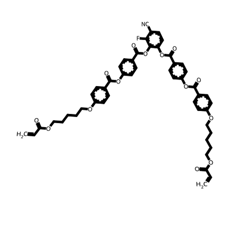 C=CC(=O)OCCCCCOc1ccc(C(=O)Oc2ccc(C(=O)Oc3ccc(C#N)c(F)c3OC(=O)c3ccc(OC(=O)c4ccc(OCCCCCOC(=O)C=C)cc4)cc3)cc2)cc1